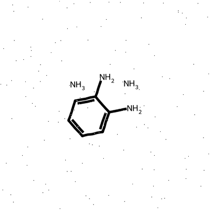 N.N.Nc1ccccc1N